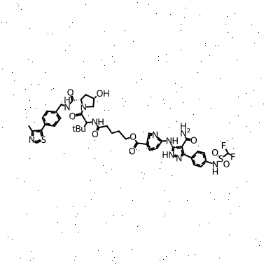 Cc1ncsc1-c1ccc(CNC(=O)[C@@H]2C[C@@H](O)CN2C(=O)C(NC(=O)CCCCOC(=O)c2ccc(Nc3[nH]nc(-c4ccc(NS(=O)(=O)C(F)F)cc4)c3C(N)=O)nc2)C(C)(C)C)cc1